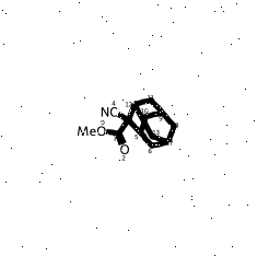 COC(=O)C1(C#N)C2CC3CC(C2)CC1C3